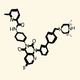 Cc1cccc(C(=O)N[C@H]2CC[C@@H](n3c(=O)c4cc(F)cnc4n(-c4cccc(-c5ccc(CN6C[C@@H](C)N[C@@H](C)C6)cc5)c4)c3=O)CC2)n1